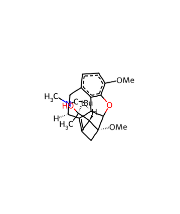 COc1ccc2c3c1OC1[C@]34CCN(C)[C@H](C2)C4=C2C[C@@]1(OC)[C@H]2[C@@](C)(O)C(C)(C)C